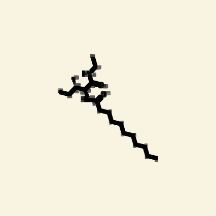 CCCCCCCCCCC(=O)N[C@H](C(=O)NCC)[C@@H](C)CC